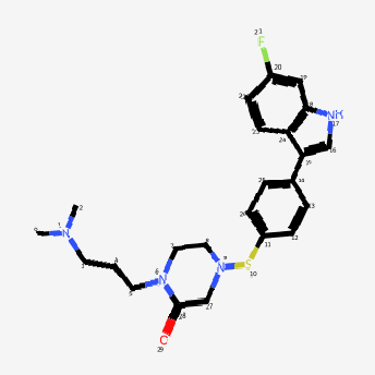 CN(C)CCCN1CCN(Sc2ccc(-c3c[nH]c4cc(F)ccc34)cc2)CC1=O